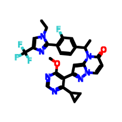 CCn1cc(C(F)(F)F)nc1-c1ccc(C(C)n2c(=O)ccn3nc(-c4c(OC)ncnc4C4CC4)cc23)cc1F